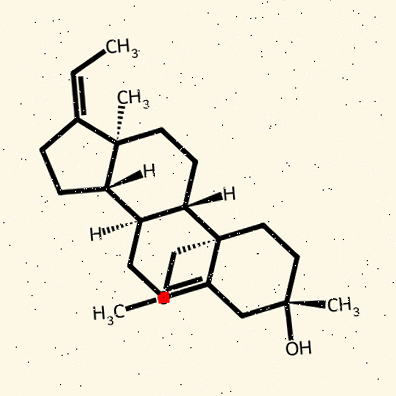 C/C=C1/CC[C@H]2[C@@H]3CC=C4C[C@@](C)(O)CC[C@]4(COC)[C@H]3CC[C@]12C